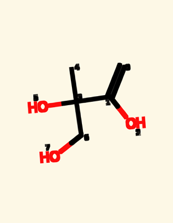 C=C(O)C(C)(O)CO